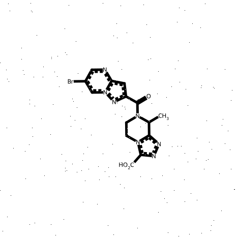 CC1c2nnc(C(=O)O)n2CCN1C(=O)c1cc2ncc(Br)cn2n1